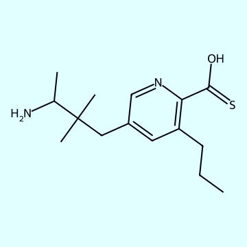 CCCc1cc(CC(C)(C)C(C)N)cnc1C(O)=S